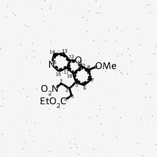 CCOC(=O)CC(C[N+](=O)[O-])c1ccc(OC)c2oc3ccncc3c12